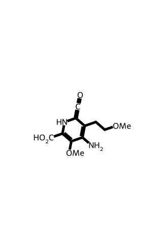 COCCC1=C(N)C(OC)=C(C(=O)O)NC1=C=O